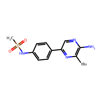 CC(C)(C)c1nc(-c2ccc(NS(C)(=O)=O)cc2)cnc1N